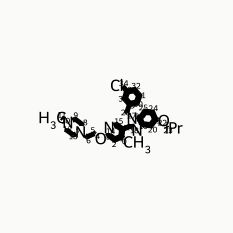 Cc1cc(OCCN2CCN(C)CC2)ncc1-c1nc2cc(OC(C)C)ccc2n1Cc1cccc(Cl)c1